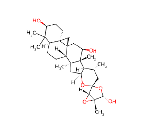 C[C@@H]1C[C@@]2(O[C@H]3C[C@@]4(C)[C@@H]5CC[C@H]6C(C)(C)[C@@H](O)CC[C@@]67C[C@@]57C[C@@H](O)[C@]4(C)[C@@H]13)O[C@H](O)[C@]1(C)O[C@H]21